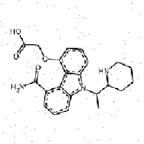 CC(C1CCCCN1)n1c2cccc(OCC(=O)O)c2c2c(C(N)=O)cccc21